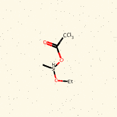 CCO[SiH](C)OC(=O)C(Cl)(Cl)Cl